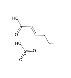 CCCC=CC(=O)O.O=[SH](=O)O